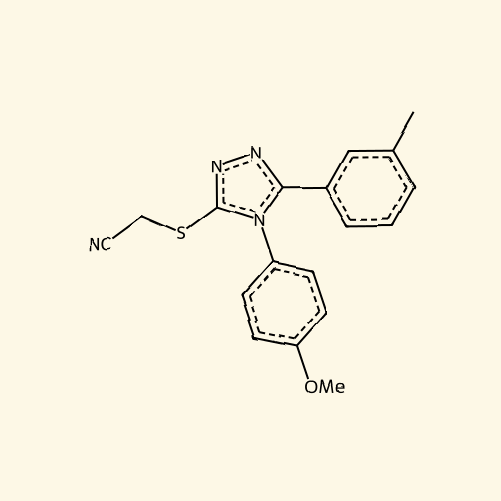 COc1ccc(-n2c(SCC#N)nnc2-c2cccc(C)c2)cc1